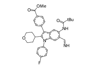 COC(=O)c1ccc(-c2c(C3CCOCC3)n(-c3ccc(F)cc3)c3cc(C=N)c(NC(=O)C(C)(C)C)cc23)cc1